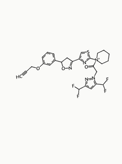 C#CCOc1cccc(C2CC(c3csc([N+]4(C(=O)Cn5nc(C(F)F)cc5C(F)F)CCCCC4)n3)=NO2)c1